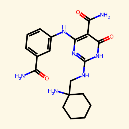 NC(=O)c1cccc(Nc2nc(NCC3(N)CCCCC3)[nH]c(=O)c2C(N)=O)c1